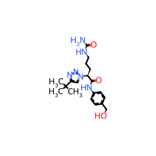 CC(C)(C)c1cn([C@@H](CCCNC(N)=O)C(=O)Nc2ccc(CO)cc2)nn1